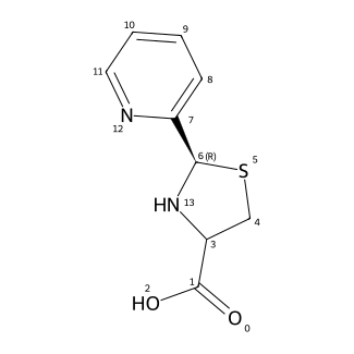 O=C(O)C1CS[C@H](c2ccccn2)N1